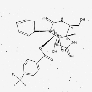 N=C1N[C@H]2[C@H](CO)NC(=N)N3[C@@H](c4ccccc4)[C@H](OC(=O)c4ccc(C(F)(F)F)cc4)C(O)(O)[C@]23N1